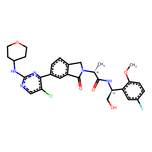 COc1ccc(F)cc1[C@@H](CO)NC(=O)[C@@H](C)N1Cc2ccc(-c3nc(NC4CCOCC4)ncc3Cl)cc2C1=O